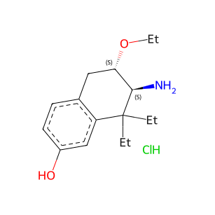 CCO[C@H]1Cc2ccc(O)cc2C(CC)(CC)[C@@H]1N.Cl